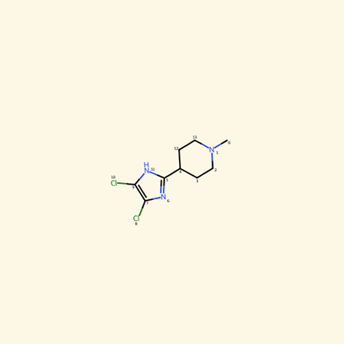 CN1CCC(c2nc(Cl)c(Cl)[nH]2)CC1